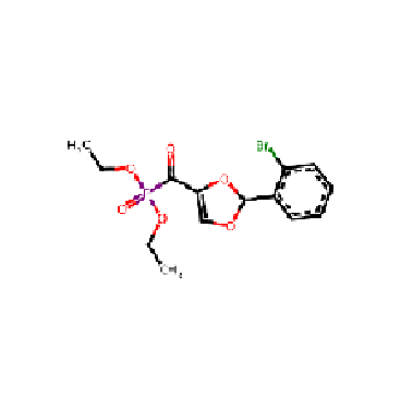 CCOP(=O)(OCC)C(=O)C1=COC(c2ccccc2Br)O1